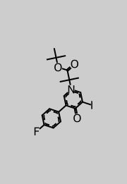 CC(C)(C)OC(=O)C(C)(C)n1cc(I)c(=O)c(-c2ccc(F)cc2)c1